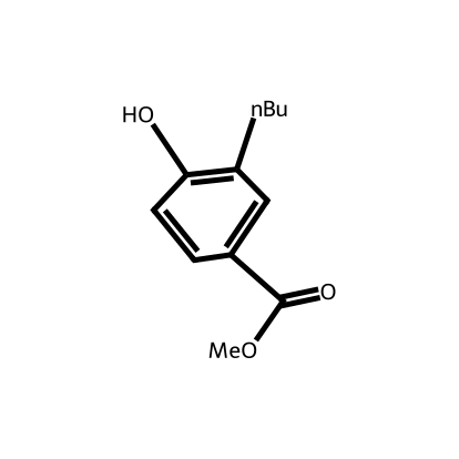 CCCCc1cc(C(=O)OC)ccc1O